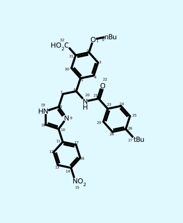 CCCCOc1ccc(C(Cc2nc(-c3ccc([N+](=O)[O-])cc3)c[nH]2)NC(=O)c2ccc(C(C)(C)C)cc2)cc1C(=O)O